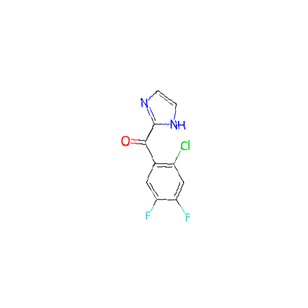 O=C(c1ncc[nH]1)c1cc(F)c(F)cc1Cl